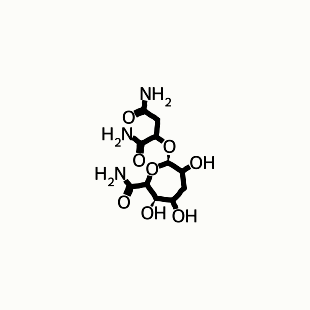 NC(=O)CC(O[C@H]1OC(C(N)=O)[C@@H](O)C(O)CC1O)C(N)=O